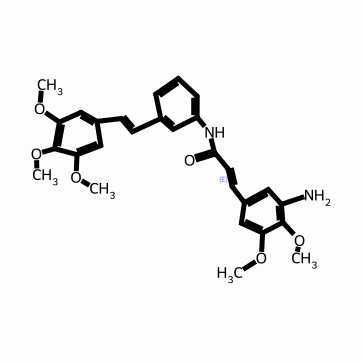 COc1cc(/C=C/C(=O)Nc2cccc(C=Cc3cc(OC)c(OC)c(OC)c3)c2)cc(N)c1OC